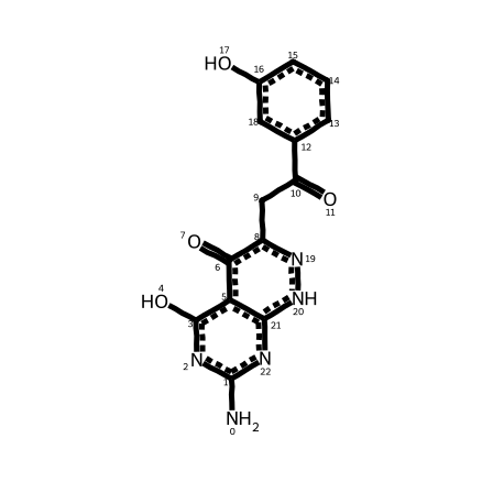 Nc1nc(O)c2c(=O)c(CC(=O)c3cccc(O)c3)n[nH]c2n1